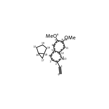 C#Cc1ccc2cc(OC)c(OC)cc2n1.C1CC2CC2C1